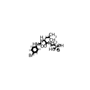 CC(C)C[C@H](NC(=O)Nc1ccc(Br)cc1)C(=O)NCCP(=O)(O)O